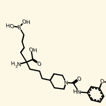 COc1cccc(NC(=O)N2CCC(CCCC(N)(CCCCB(O)O)C(=O)O)CC2)c1